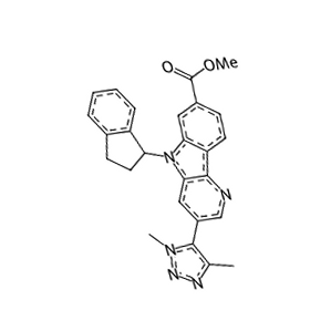 COC(=O)c1ccc2c3ncc(-c4c(C)nnn4C)cc3n(C3CCc4ccccc43)c2c1